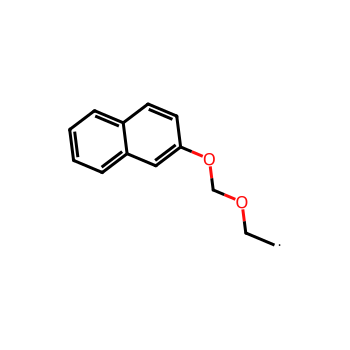 [CH2]COCOc1ccc2ccccc2c1